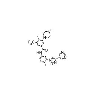 Cc1ccc(NC(=O)c2cc(N3CCN(C)CC3)c(C)c(C(F)(F)F)c2)cc1-n1cc(-c2cncnc2)nn1